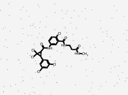 CNC(=O)CCNC(=O)c1cc(NC(=O)C2C(c3cc(Cl)cc(Cl)c3)C2(Cl)Cl)ccc1Cl